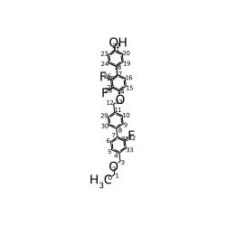 CCOCc1ccc(-c2ccc(COc3ccc(-c4ccc(O)cc4)c(F)c3F)cc2)c(F)c1